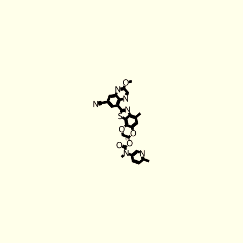 COc1cnc2c(-c3nc4c(C)cc5c(c4s3)OC[C@@H](OC(=O)N(C)c3ccc(C)nc3)O5)cc(C#N)cc2n1